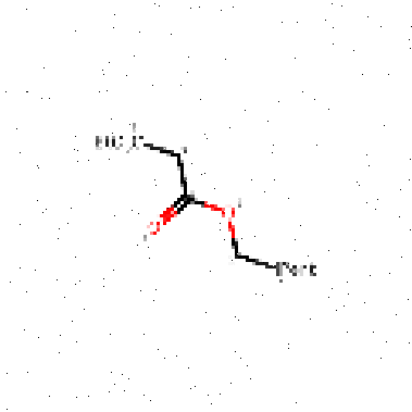 CCCC(C)COC(=O)CC(=O)OCC